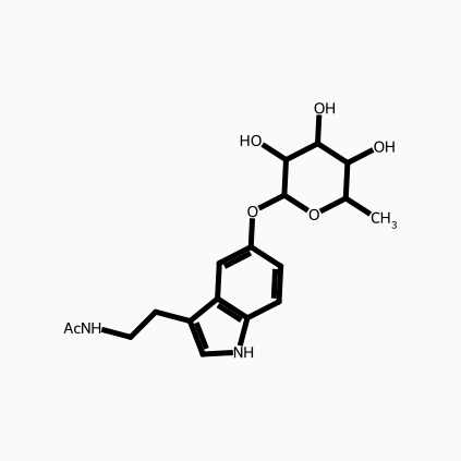 CC(=O)NCCc1c[nH]c2ccc(OC3OC(C)C(O)C(O)C3O)cc12